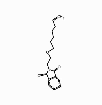 C=CCCCCCOCCN1C(=O)c2ccccc2C1=O